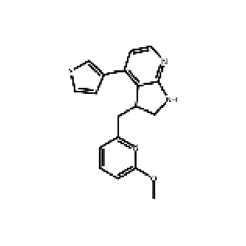 COc1cccc(CC2CNc3nccc(-c4ccsc4)c32)n1